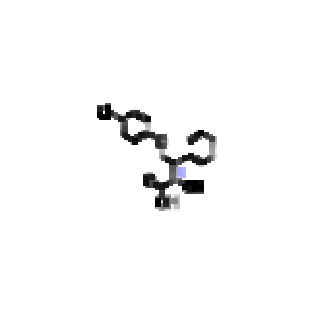 O=C(O)/C(O)=C(\COc1ccc(Cl)cc1)c1ccccc1